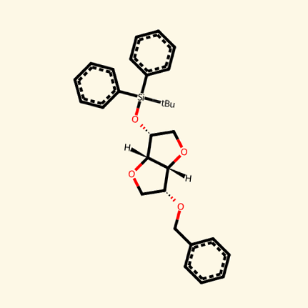 CC(C)(C)[Si](O[C@@H]1CO[C@H]2[C@@H]1OC[C@H]2OCc1ccccc1)(c1ccccc1)c1ccccc1